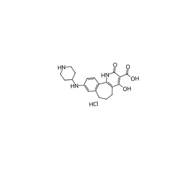 Cl.O=C(O)c1c(O)c2c([nH]c1=O)-c1ccc(NC3CCNCC3)cc1CCC2